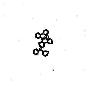 O=P12c3ccccc3-c3ccccc3N1c1ccc(N(c3ccccc3)c3ccccc3)cc1-c1ccccc12